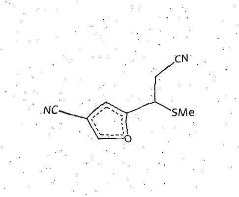 CSC(CC#N)c1cc(C#N)co1